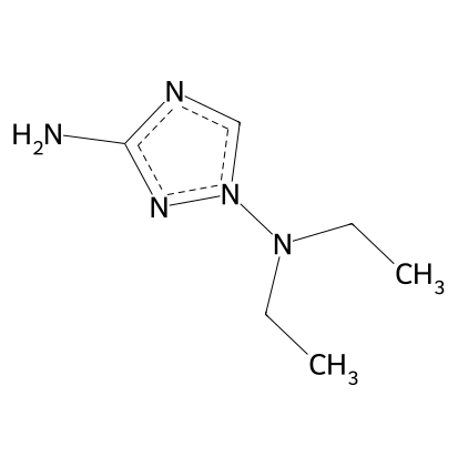 CCN(CC)n1cnc(N)n1